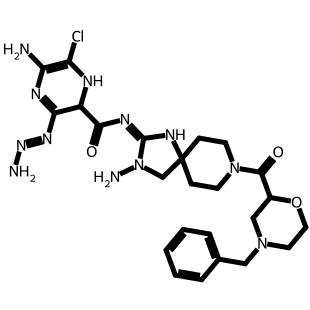 NN=NC1=NC(N)=C(Cl)NC1C(=O)/N=C1/NC2(CCN(C(=O)C3CN(Cc4ccccc4)CCO3)CC2)CN1N